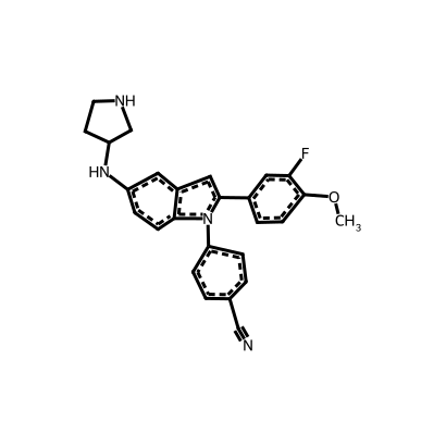 COc1ccc(-c2cc3cc(NC4CCNC4)ccc3n2-c2ccc(C#N)cc2)cc1F